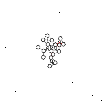 c1ccc(-c2cc(-c3ccccc3)cc(N3c4cc5c(cc4B4c6ccc(-n7c8ccccc8c8ccccc87)cc6N(c6c(-c7ccccc7)cccc6-c6ccccc6)c6cc(-c7ccc8c(c7)c7cccc9c%10ccccc%10n8c97)cc3c64)C3(c4ccccc4-c4ccccc43)c3ccccc3-5)c2)cc1